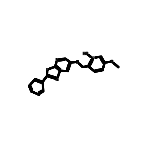 COc1ccc(COc2cnc3oc(-c4cccnc4)nc3c2)[n+](O)c1